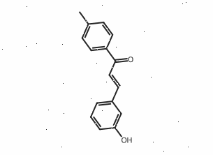 Cc1ccc(C(=O)C=Cc2cccc(O)c2)cc1